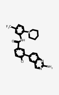 Nc1ncc2cc(-c3cc(C(=O)Nc4cc(C(F)(F)F)ccc4N4CCCCC4)ccc3Cl)ccc2n1